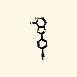 N#Cc1ccc(-c2nc3cc[nH]c(=O)c3s2)cc1